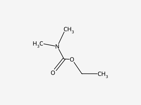 CCOC(=O)N(C)C